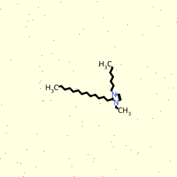 CCCCCCCCCCCCCC1N(CC)C=CN1CCCCCCC